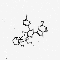 O=C(O)[C@H]1C2CCC(CC2)C[C@@H]1Nc1nc(-c2c[nH]c3ncc(Cl)nc23)nc(-c2ccc(F)s2)c1F